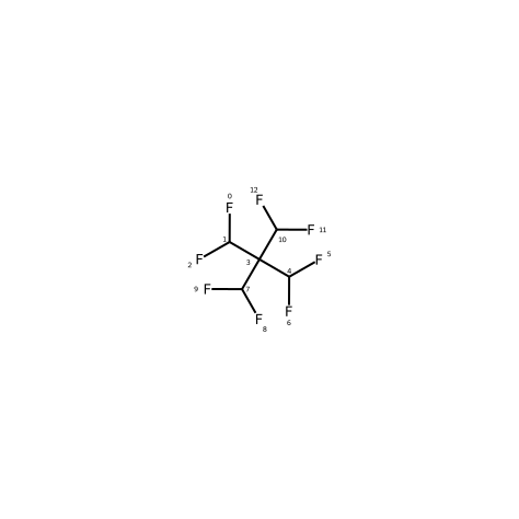 FC(F)C(C(F)F)(C(F)F)C(F)F